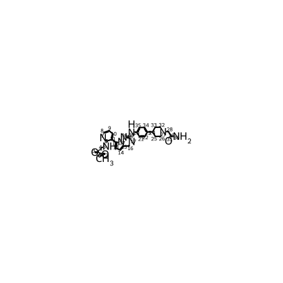 CS(=O)(=O)CNc1ncccc1-c1ccc2cnc(Nc3ccc(C4CCN(CC(N)=O)CC4)cc3)nn12